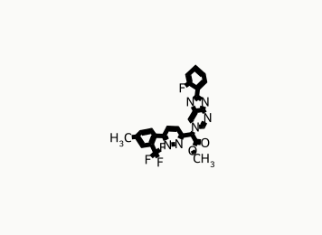 COC(=O)C(c1ccc(-c2ccc(C)cc2C(F)(F)F)nn1)n1cnc2nc(-c3ccccc3F)nc-2c1